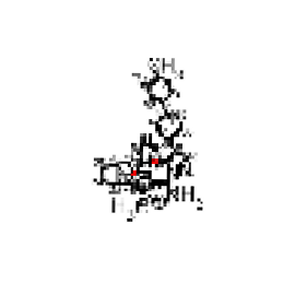 Cc1ccc(-c2ccc(-c3cnn4c(N)c(S(C)(=O)=O)c(C5CC6CCC(C5)N6C(=O)c5nnc[nH]5)nc34)cn2)cc1F